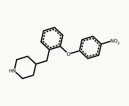 O=[N+]([O-])c1ccc(Oc2ccccc2CC2CCNCC2)cc1